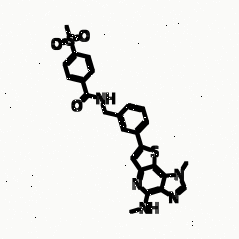 CNc1nc2cc(-c3cccc(CNC(=O)c4ccc(S(C)(=O)=O)cc4)c3)sc2c2c1ncn2C